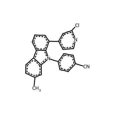 Cc1ccc2c3cccc(-c4ccnc(Cl)c4)c3n(-c3ccc(C#N)cc3)c2c1